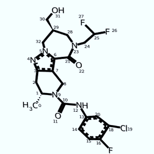 C[C@@H]1Cc2nn3c(c2CN1C(=O)Nc1ccc(F)c(Cl)c1)C(=O)N(CC(F)F)C[C@H](CO)C3